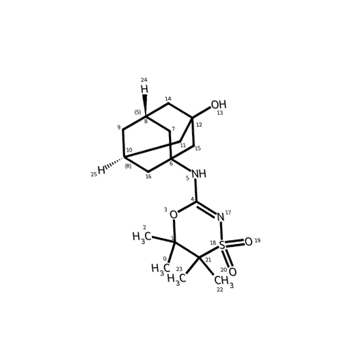 CC1(C)OC(NC23C[C@@H]4C[C@@H](CC(O)(C4)C2)C3)=NS(=O)(=O)C1(C)C